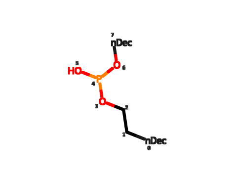 CCCCCCCCCCCCOP(O)OCCCCCCCCCC